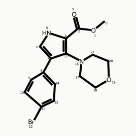 COC(=O)c1[nH]cc(-c2ccc(Br)cc2)c1N1CCOCC1